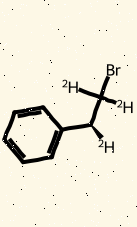 [2H][C@@H](c1ccccc1)C([2H])([2H])Br